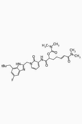 CN(C)C(=O)C=CCCC(OC(=O)N(C)C)C(=O)Nc1cccn(Cc2nc3cc(F)cc(CC(C)(C)C)c3[nH]2)c1=O